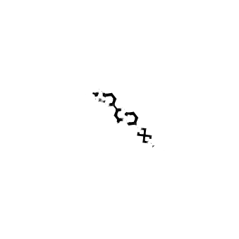 Cc1nc2ccc(-c3cc(=O)n4cc(N5CC6(CN(C)C6)C5)ccc4n3)nn2n1